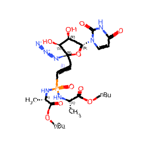 CCCCOC(=O)[C@H](C)NP(=O)(/C=C/[C@@]1(N=[N+]=[N-])O[C@@H](n2ccc(=O)[nH]c2=O)[C@H](O)[C@@H]1O)N[C@@H](C)C(=O)OCCCC